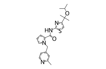 Cc1cc(Cn2cccc2C(=O)Nc2nc(C(C)(C)OC(C)C)cs2)ccn1